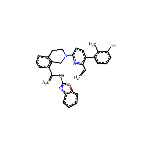 C=Cc1nc(N2CCc3cccc(C(=C)Nc4nc5ccccc5s4)c3C2)ccc1-c1cccc(CCC)c1C